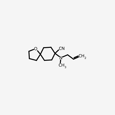 C=CCN(C)C1(C#N)CCC2(CCCO2)CC1